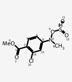 COC(=O)c1ccc(N(C)O[SH](=O)=O)cc1Cl